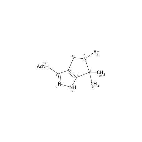 CC(=O)Nc1n[nH]c2c1CN(C(C)=O)C2(C)C